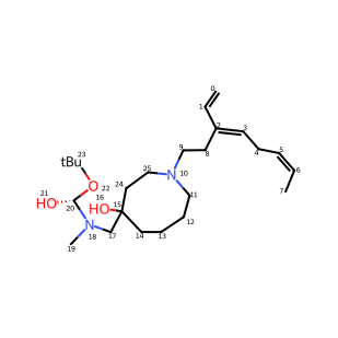 C=C/C(=C/C/C=C\C)CCN1CCCCC(O)(CN(C)[C@H](O)OC(C)(C)C)CC1